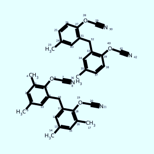 Cc1cc(C)c(OC#N)c(Cc2cc(C)cc(C)c2OC#N)c1.Cc1ccc(OC#N)c(Cc2cc(C)ccc2OC#N)c1